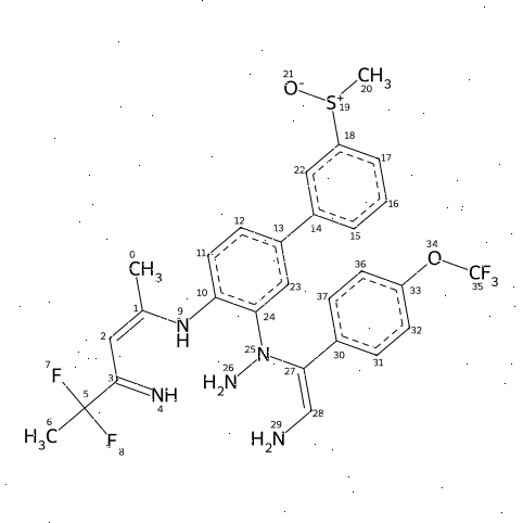 C/C(=C/C(=N)C(C)(F)F)Nc1ccc(-c2cccc([S+](C)[O-])c2)cc1N(N)/C(=C\N)c1ccc(OC(F)(F)F)cc1